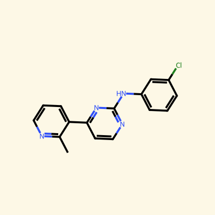 Cc1ncccc1-c1ccnc(Nc2cccc(Cl)c2)n1